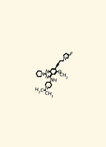 COc1cc2c(NC3CCN(C(C)C)CC3)nc(N3CCCCC3)nc2cc1C#CCCN1CC[C@H](F)C1